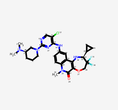 CN(C)[C@@H]1CCCN(c2ncc(Cl)c(Nc3ccc4c(c3)c3c(c(=O)n4C)OCC(F)(F)[C@H](C4CC4)N3)n2)C1